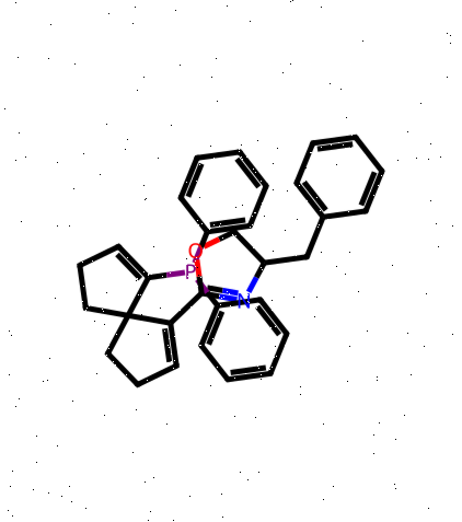 C1=C(C2=NC(Cc3ccccc3)CO2)C2(CC1)CCC=C2P(c1ccccc1)c1ccccc1